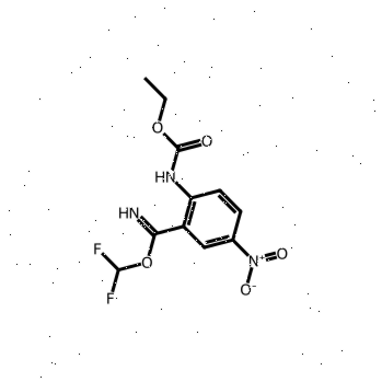 CCOC(=O)Nc1ccc([N+](=O)[O-])cc1C(=N)OC(F)F